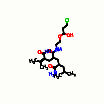 CC(C)=C(CC(CC(CC(C)C)C(N)=O)C(O)NCCOC(O)CCCl)C(N)=O